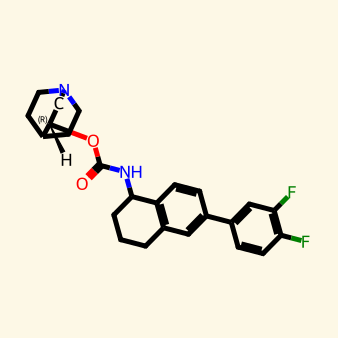 O=C(NC1CCCc2cc(-c3ccc(F)c(F)c3)ccc21)O[C@H]1CN2CCC1CC2